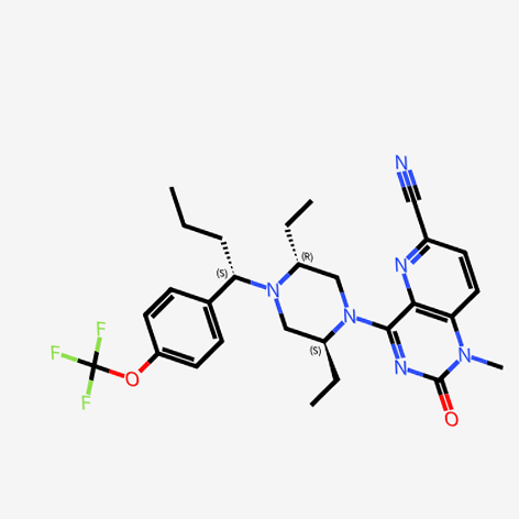 CCC[C@@H](c1ccc(OC(F)(F)F)cc1)N1C[C@H](CC)N(c2nc(=O)n(C)c3ccc(C#N)nc23)C[C@H]1CC